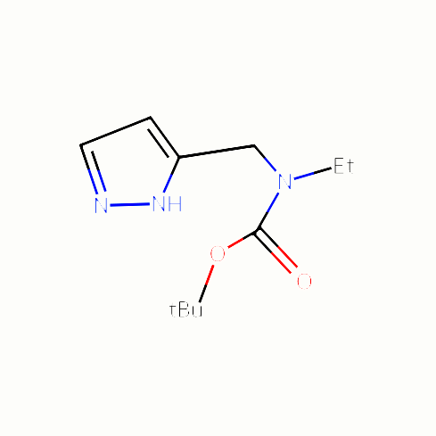 [CH2]CN(Cc1ccn[nH]1)C(=O)OC(C)(C)C